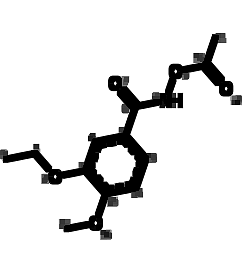 CCOc1cc(C(=O)NOC(C)=O)ccc1OC